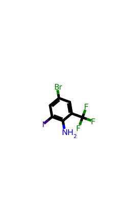 Nc1c(I)cc(Br)cc1C(F)(F)F